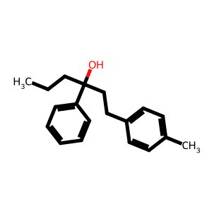 CCCC(O)(CCc1ccc(C)cc1)c1ccccc1